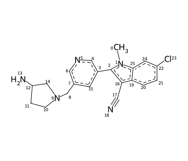 Cn1c(-c2cncc(CN3CCC(N)C3)c2)c(C#N)c2ccc(Cl)cc21